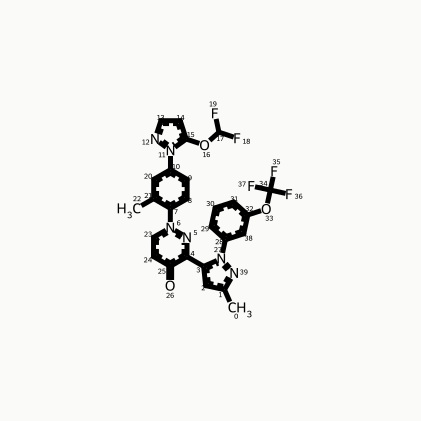 Cc1cc(-c2nn(-c3ccc(-n4nccc4OC(F)F)cc3C)ccc2=O)n(-c2cccc(OC(F)(F)F)c2)n1